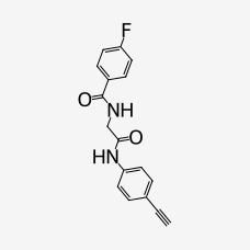 C#Cc1ccc(NC(=O)CNC(=O)c2ccc(F)cc2)cc1